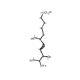 CCCCCCCCC(O)C(O)C=CC(O)CCCCC(=O)O